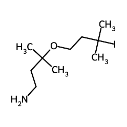 CC(C)(I)CCOC(C)(C)CCN